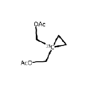 CC(=O)OC[13C]1(COC(C)=O)CC1